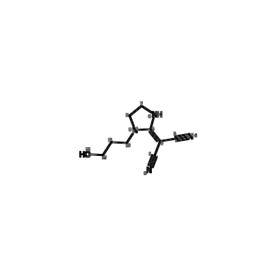 N#CC(C#N)=C1NCCN1CCCO